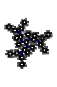 c1ccc(-c2ccc3c(c2)c2cc(-c4ccccc4)ccc2n3-c2ccc(N(c3ccccc3)c3cc(N(c4ccccc4)c4ccc(-n5c6ccc(-c7ccccc7)cc6c6cc(-c7ccccc7)ccc65)c5ccccc45)cc(N(c4ccccc4)c4ccc(-n5c6ccc(-c7ccccc7)cc6c6cc(-c7ccccc7)ccc65)c5ccccc45)c3)c3ccccc23)cc1